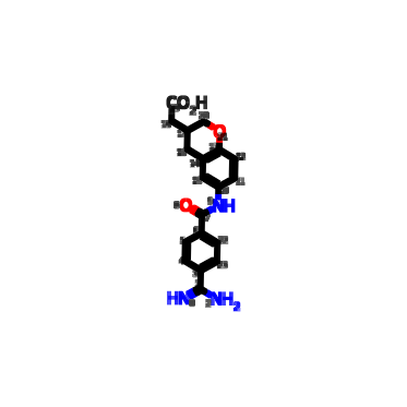 N=C(N)c1ccc(C(=O)Nc2ccc3c(c2)CC(CC(=O)O)CO3)cc1